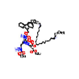 CCCCCCCC/C=C\CCCCCCCCC(CCCCCCC/C=C\CCCCCCCC)OC(=O)[C@H](CCC(=O)OC(C)(C)C)NC(=O)[C@H](CCCCNC(=O)OC(C)(C)C)NC(=O)OCC1c2ccccc2-c2ccccc21